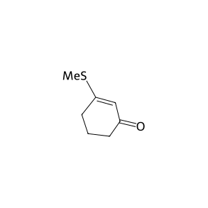 CSC1=CC(=O)CCC1